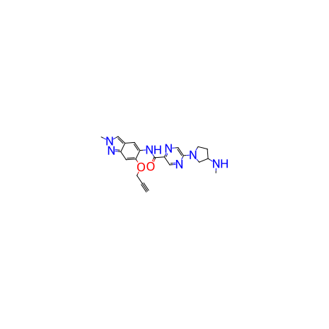 C#CCOc1cc2nn(C)cc2cc1NC(=O)c1cnc(N2CCC(NC)C2)cn1